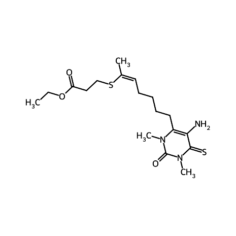 CCOC(=O)CCS/C(C)=C\CCCCc1c(N)c(=S)n(C)c(=O)n1C